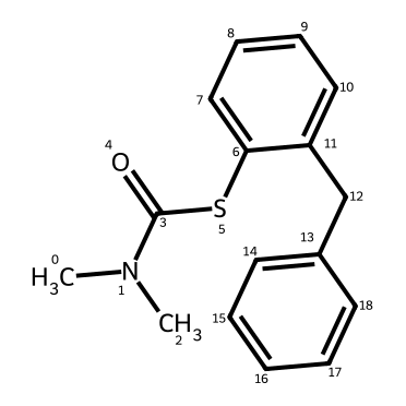 CN(C)C(=O)Sc1ccccc1Cc1ccccc1